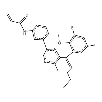 C=CC(=O)Nc1cccc(-c2cnc(C)c(/C(=C\CCC)c3cc(I)cc(F)c3OC)n2)c1